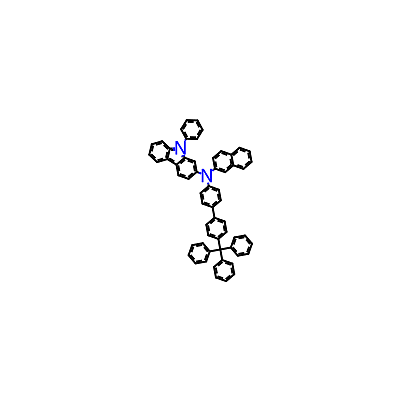 c1ccc(-n2c3ccccc3c3ccc(N(c4ccc(-c5ccc(C(c6ccccc6)(c6ccccc6)c6ccccc6)cc5)cc4)c4ccc5ccccc5c4)cc32)cc1